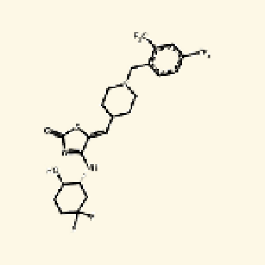 O=C1N=C(N[C@@H]2CC(F)(F)CC[C@H]2O)/C(=C/C2CCN(Cc3ccc(C(F)(F)F)cc3C(F)(F)F)CC2)S1